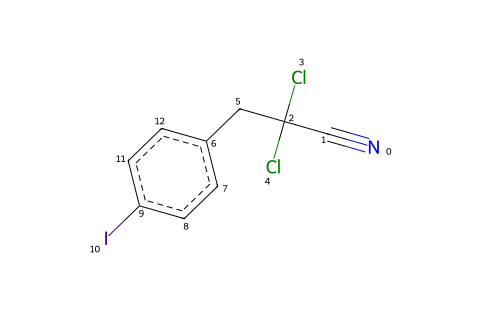 N#CC(Cl)(Cl)Cc1ccc(I)cc1